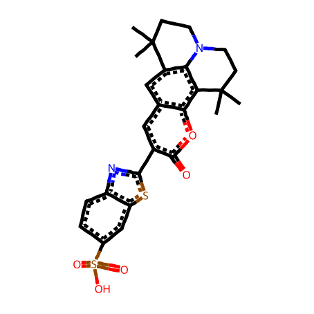 CC1(C)CCN2CCC(C)(C)c3c2c1cc1cc(-c2nc4ccc(S(=O)(=O)O)cc4s2)c(=O)oc31